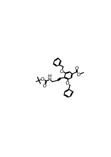 COC(=O)c1cc(OCc2ccccc2)c(C#CCNC(=O)OC(C)(C)C)c(OCc2ccccc2)c1